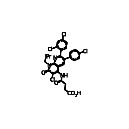 CC(C)Cn1c(=O)c(Cl)c(NC(=O)CCC(=O)O)c2cc(-c3ccc(Cl)cc3)c(-c3ccc(Cl)cc3Cl)nc21